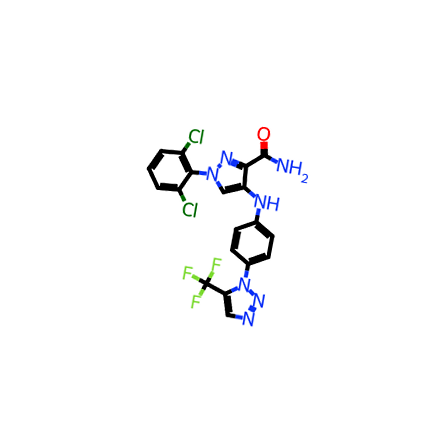 NC(=O)c1nn(-c2c(Cl)cccc2Cl)cc1Nc1ccc(-n2nncc2C(F)(F)F)cc1